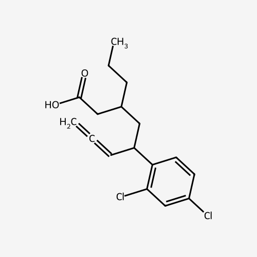 C=C=CC(CC(CCC)CC(=O)O)c1ccc(Cl)cc1Cl